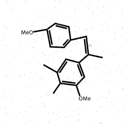 COc1ccc(/C=C(/C)c2cc(C)c(C)c(OC)c2)cc1